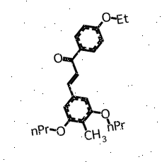 CCCOc1cc(C=CC(=O)c2ccc(OCC)cc2)cc(OCCC)c1C